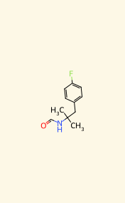 CC(C)(Cc1ccc(F)cc1)NC=O